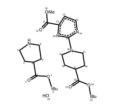 CC(C)(C)OC(=O)C1CCNCC1.COC(=O)c1ccnc(N2CCC(C(=O)OC(C)(C)C)CC2)n1.Cl